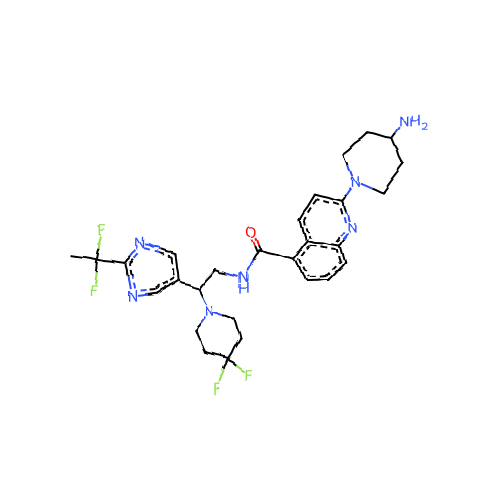 CC(F)(F)c1ncc(C(CNC(=O)c2cccc3nc(N4CCC(N)CC4)ccc23)N2CCC(F)(F)CC2)cn1